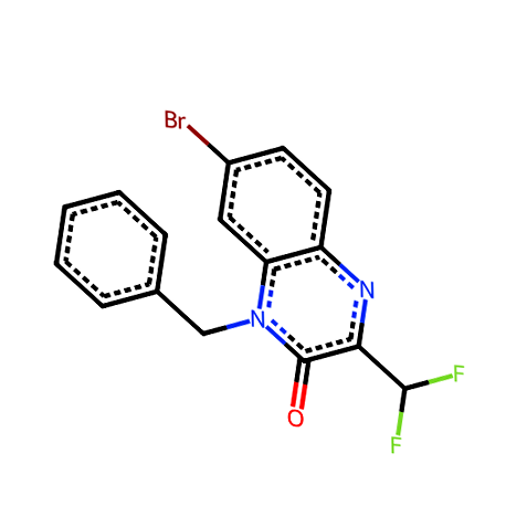 O=c1c(C(F)F)nc2ccc(Br)cc2n1Cc1ccccc1